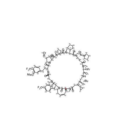 CCC[C@H]1C(=O)N[C@@H]([C@@H](C)CC)C(=O)N(C2CC2)CC(=O)N(C)[C@H]2C/C=C\CCN(C2=O)[C@@H](Cc2ccc(C(F)(F)F)cc2)C(=O)N(C)CC(=O)N[C@@H](CCc2ccc(C(F)(F)F)c(OC)c2)C(=O)N2C[C@H](OCC)C[C@H]2C(=O)N(C)C2(CCC2)C(=O)N(C)[C@@H](C2CCCC2)C(=O)N(C)[C@H](C(=O)N2CCCC2)CC(=O)N1C